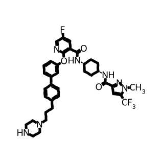 Cn1nc(C(=O)N[C@H]2CC[C@@H](NC(=O)c3cc(F)cnc3Oc3cccc(-c4ccc(CCCN5CCNCC5)cc4)c3)CC2)cc1C(F)(F)F